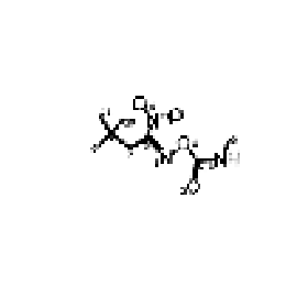 CNC(=O)ON=C(CC(C)(C)C)[N+](=O)[O-]